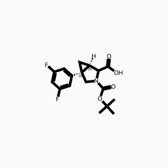 CC(C)(C)OC(=O)N1C[C@@]2(c3cc(F)cc(F)c3)C[C@H]2C1C(=O)O